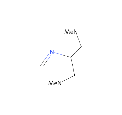 C=NC(CNC)CNC